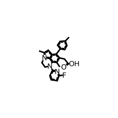 Cc1ccc(-c2c(CC(=O)O)c(C)c3c4c2cc(C)n4CCN3c2cccc(F)n2)cc1